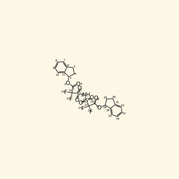 O=C(OC1CCc2ccccc21)C(F)(F)S(=O)(=O)NS(=O)(=O)C(F)(F)C(=O)OC1CCc2ccccc21